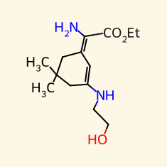 CCOC(=O)/C(N)=C1\C=C(NCCO)CC(C)(C)C1